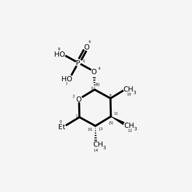 CCC1O[C@H](OP(=O)(O)O)C(C)[C@@H](C)[C@@H]1C